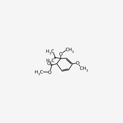 C=C(C)C1(OC)C=C(OC)C=CC1C(=O)OC